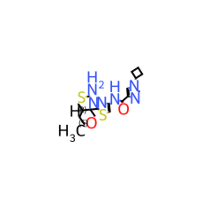 C[C@H]1C[C@H]2CSC(N)=NC2(c2nc(NC(=O)c3cn(C4CCC4)cn3)cs2)CO1